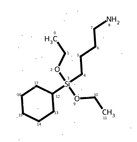 CCO[Si](CCCCN)(OCC)C1CCCCC1